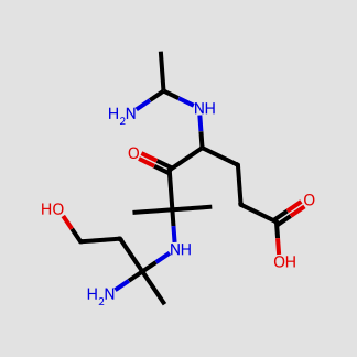 CC(N)NC(CCC(=O)O)C(=O)C(C)(C)NC(C)(N)CCO